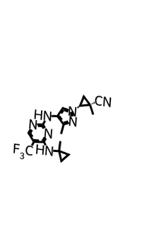 Cc1nn([C@@H]2C[C@]2(C)C#N)cc1Nc1ncc(C(F)(F)F)c(NC2(C)CC2)n1